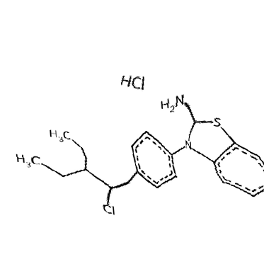 CCC(CC)C(Cl)c1ccc(N2c3ccccc3SC2N)cc1.Cl